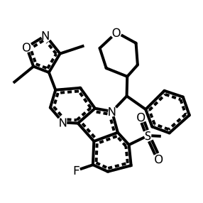 Cc1noc(C)c1-c1cnc2c3c(F)ccc(S(C)(=O)=O)c3n(C(c3ccccc3)C3CCOCC3)c2c1